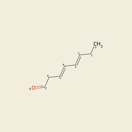 CCC=CC=CC[C]=O